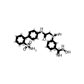 CCCN(CC(=O)Nc1ccc(-c2ccccc2S(N)(=O)=O)cc1)c1cccc(C(=N)NO)c1